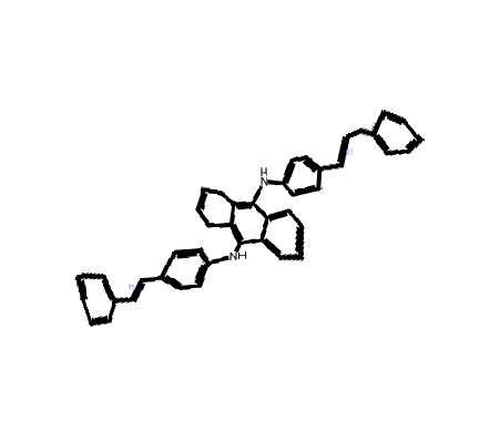 C1=CCc2c(c(Nc3ccc(/C=C/c4ccccc4)cc3)c3ccccc3c2Nc2ccc(/C=C/c3ccccc3)cc2)C1